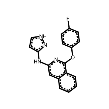 Fc1ccc(Oc2nc(Nc3cc[nH]n3)cc3ccccc23)cc1